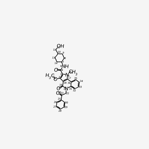 COc1c(C(=O)NC2CCC(CO)CC2)n(C)c2c1c(=O)n(CC(=O)c1ccccc1)c1ccccc21